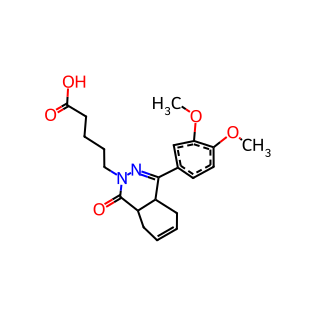 COc1ccc(C2=NN(CCCCC(=O)O)C(=O)C3CC=CCC23)cc1OC